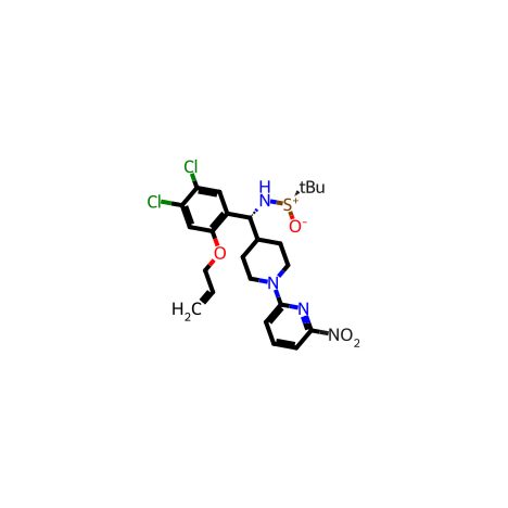 C=CCOc1cc(Cl)c(Cl)cc1[C@H](N[S@@+]([O-])C(C)(C)C)C1CCN(c2cccc([N+](=O)[O-])n2)CC1